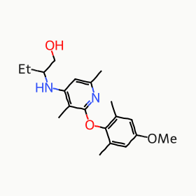 CCC(CO)Nc1cc(C)nc(Oc2c(C)cc(OC)cc2C)c1C